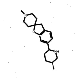 C[C@H]1CCC(c2ccc3c(c2)OC2(CCN(C)CC2)C3)NC1